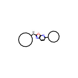 B(c1nc2ccc(C3CCCCCCCCCCC3)nc2o1)C1CCCCCCCCCCCCCC1